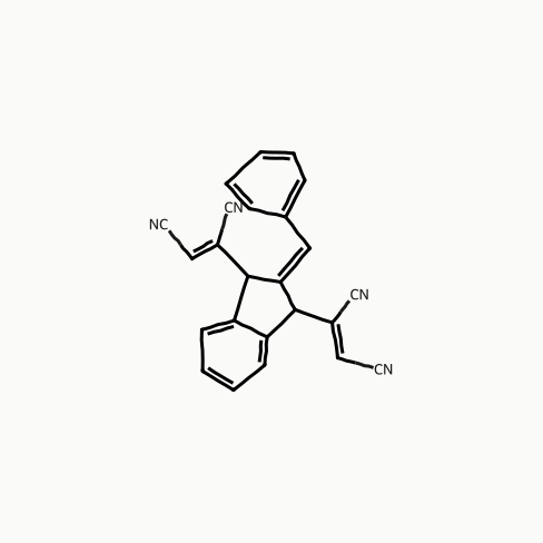 N#CC=C(C#N)C1C(=Cc2ccccc2)C(C(C#N)=CC#N)c2ccccc21